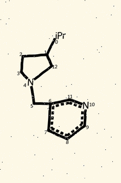 CC(C)C1CCN(Cc2cccnc2)C1